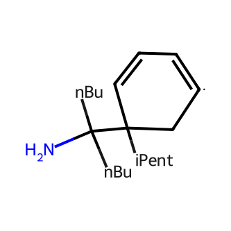 CCCCC(N)(CCCC)C1(C(C)CCC)C=CC=[C]C1